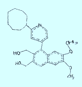 COc1cc2cc(CO)c(CO)c(-c3ccnc(C4CCCCCCC4)c3)c2cc1OC